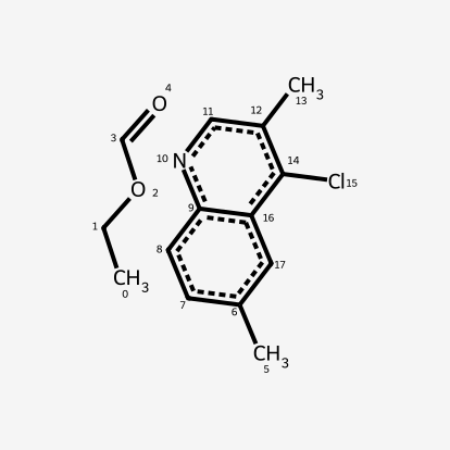 CCOC=O.Cc1ccc2ncc(C)c(Cl)c2c1